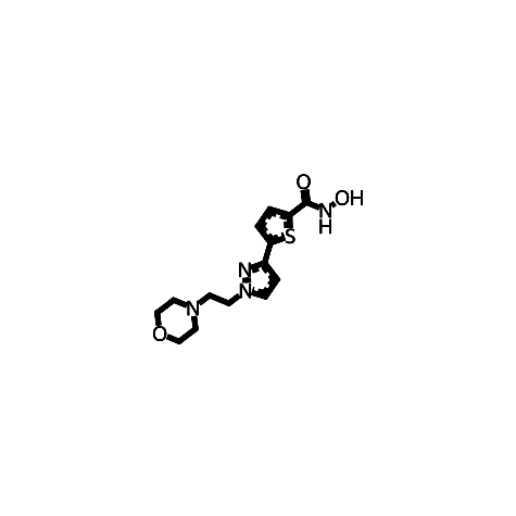 O=C(NO)c1ccc(-c2ccn(CCN3CCOCC3)n2)s1